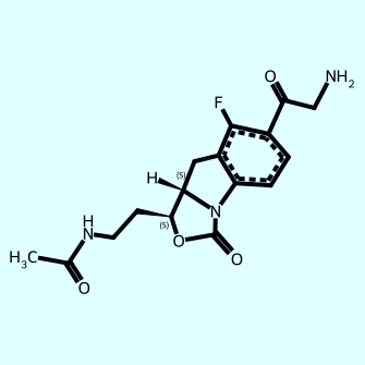 CC(=O)NCC[C@@H]1OC(=O)N2c3ccc(C(=O)CN)c(F)c3C[C@@H]12